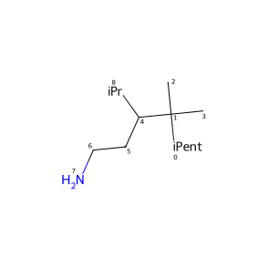 CCCC(C)C(C)(C)C(CCN)C(C)C